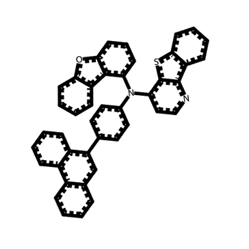 c1ccc2c(c1)cc(-c1ccc(N(c3ccnc4c3sc3ccccc34)c3cccc4oc5ccccc5c34)cc1)c1ccccc12